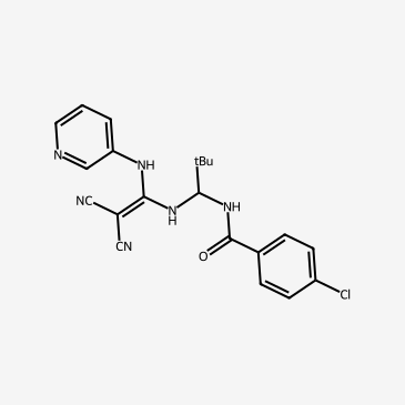 CC(C)(C)C(NC(=O)c1ccc(Cl)cc1)NC(Nc1cccnc1)=C(C#N)C#N